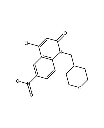 O=c1cc(Cl)c2cc([N+](=O)[O-])ccc2n1CC1CCOCC1